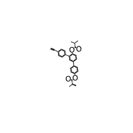 C#Cc1ccc(-c2cc(-c3ccc(OC(=O)C(=C)C)cc3)ccc2OC(=O)C(C)C)cc1